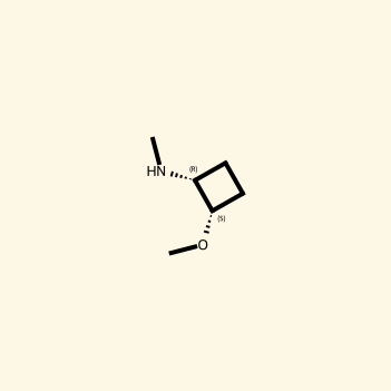 CN[C@@H]1CC[C@@H]1OC